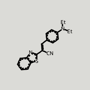 CCN(CC)c1ccc(C=C(C#N)c2nc3ccccc3s2)cc1